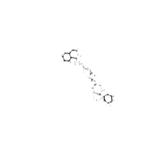 Cc1ccc2ccnc(NCC(=O)NC3CN(C4CCC(O)(c5ccccc5)CC4)C3)c2c1